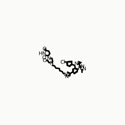 Cc1nnc2n1-c1ccc(-c3cnn(CCCCCCCN4CCN(C5CCC(=O)NC5=O)C(=O)C4)c3)cc1C(c1ccc(Cl)cc1)=NC21CC1